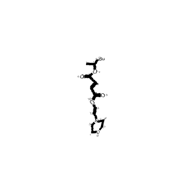 CCC(C)C(C)OC(=O)/C=C/C(=O)OCCN1CCOCC1